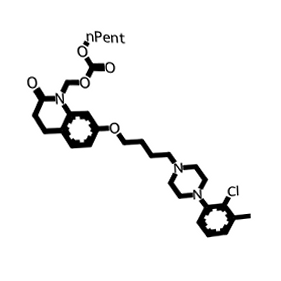 CCCCCOC(=O)OCN1C(=O)CCc2ccc(OCCCCN3CCN(c4cccc(C)c4Cl)CC3)cc21